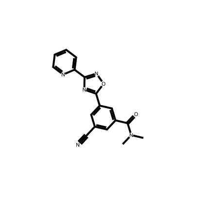 CN(C)C(=O)c1cc(C#N)cc(-c2nc(-c3ccccn3)no2)c1